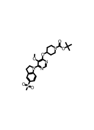 COc1c(OC2CCN(C(=O)OC(C)(C)C)CC2)ncnc1N1CCc2cc(S(C)(=O)=O)ccc21